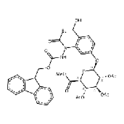 CCC(=O)N(NC(=O)OCC1c2ccccc2-c2ccccc21)c1cc(O[C@@H]2O[C@H](C(=O)OC)[C@@H](OC(C)=O)[C@H](OC(C)=O)[C@H]2OC(C)=O)ccc1CO